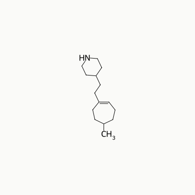 CC1CCC=C(CCC2CCNCC2)CC1